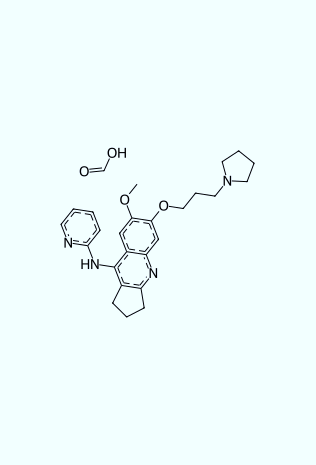 COc1cc2c(Nc3ccccn3)c3c(nc2cc1OCCCN1CCCC1)CCC3.O=CO